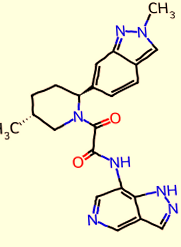 C[C@@H]1CC[C@@H](c2ccc3cn(C)nc3c2)N(C(=O)C(=O)Nc2cncc3cn[nH]c23)C1